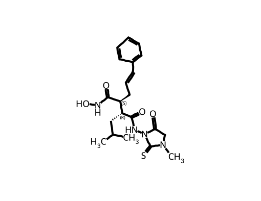 CC(C)C[C@@H](C(=O)NN1C(=O)CN(C)C1=S)[C@H](CC=Cc1ccccc1)C(=O)NO